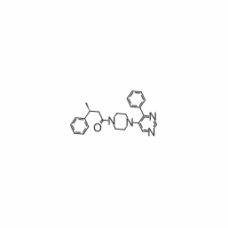 C[C@@H](CC(=O)N1CCN(c2cncnc2-c2ccccc2)CC1)c1ccccc1